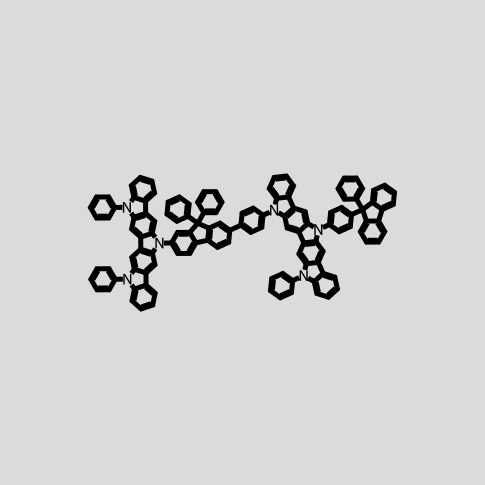 c1ccc(-n2c3ccccc3c3cc4c(cc32)c2cc3c(cc2n4-c2ccc(C4(c5ccccc5)c5ccccc5-c5ccccc54)cc2)c2ccccc2n3-c2ccc(-c3ccc4c(c3)C(c3ccccc3)(c3ccccc3)c3cc(-n5c6cc7c8ccccc8n(-c8ccccc8)c7cc6c6cc7c(cc65)c5ccccc5n7-c5ccccc5)ccc3-4)cc2)cc1